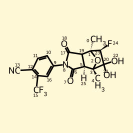 C[C@]12O[C@@](C)([C@H]3C(=O)N(c4ccc(C#N)c(C(F)(F)F)c4)C(=O)C31)C(O)(O)[C@@H]2F